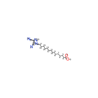 COC(=O)CCCCCCCCCCCCCCCn1cnc(C#N)c1C#N